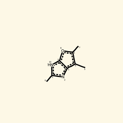 Cc1nc2c(C)c(C)oc2[nH]1